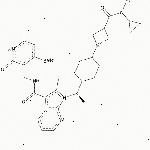 CCN(C(=O)C1CN(C2CCC([C@@H](C)n3c(C)c(C(=O)NCc4c(SC)cc(C)[nH]c4=O)c4cccnc43)CC2)C1)C1CC1